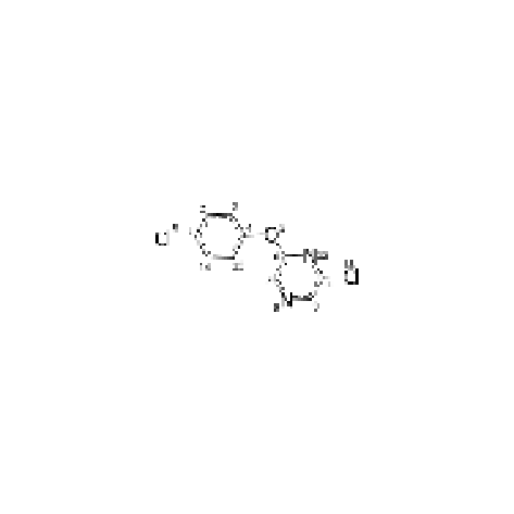 Clc1ccc(Oc2cncc(Cl)n2)cc1